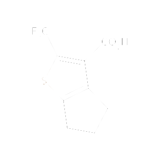 O=C(O)c1c(C(F)(F)F)sc2c1CCC2